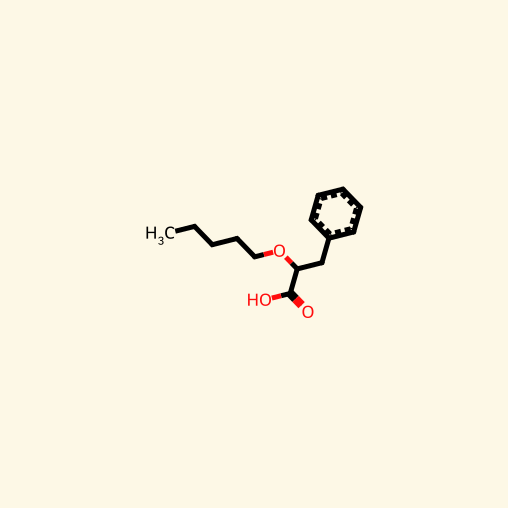 CCCCCOC(Cc1ccccc1)C(=O)O